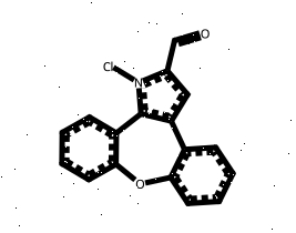 O=Cc1cc2c(n1Cl)-c1ccccc1Oc1ccccc1-2